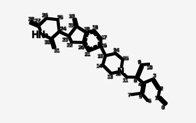 C=C/C=C\C(=C(C)C)/C(=C\C)CN1CCC(c2ccc3c(c2)CC(C2CCC(=C)NC2=C)C3=C)CC1